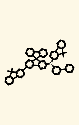 CC1(C)c2ccccc2-c2ccc(-c3ccc4c(c3)-c3ccc(N(c5cccc(-c6ccccc6)c5)c5ccc6c(c5)C(C)(C)c5ccccc5-6)cc3C43c4ccccc4-c4ccccc43)cc21